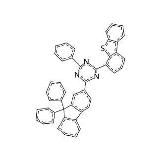 c1ccc(-c2nc(-c3ccc4c(c3)C(c3ccccc3)(c3ccccc3)c3ccccc3-4)nc(-c3cccc4c3sc3ccccc34)n2)cc1